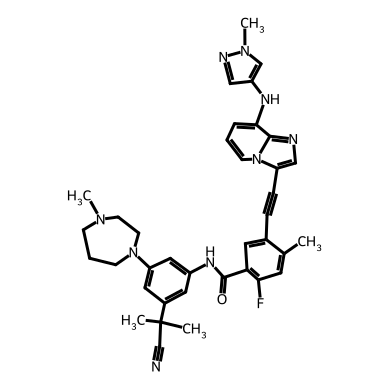 Cc1cc(F)c(C(=O)Nc2cc(N3CCCN(C)CC3)cc(C(C)(C)C#N)c2)cc1C#Cc1cnc2c(Nc3cnn(C)c3)cccn12